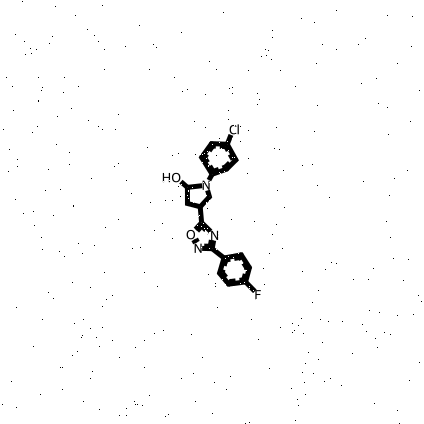 OC1CC(c2nc(-c3ccc(F)cc3)no2)CN1c1ccc(Cl)cc1